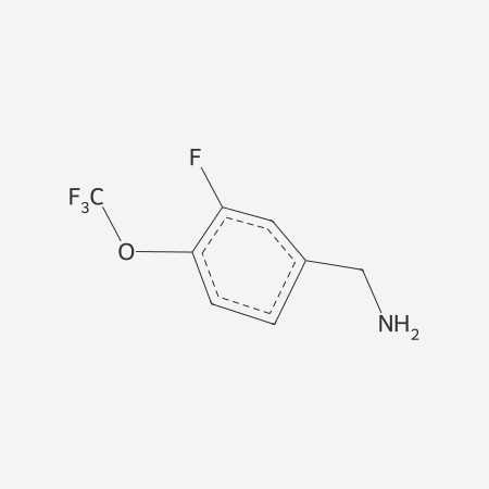 NCc1ccc(OC(F)(F)F)c(F)c1